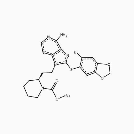 CC(C)(C)OC(=O)N1CCCC[C@H]1CCn1c(Sc2cc3c(cc2Br)OCO3)nc2c(N)ncnc21